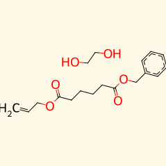 C=CCOC(=O)CCCCC(=O)OCc1ccccc1.OCCO